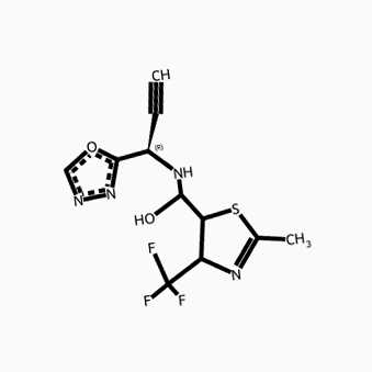 C#C[C@@H](NC(O)C1SC(C)=NC1C(F)(F)F)c1nnco1